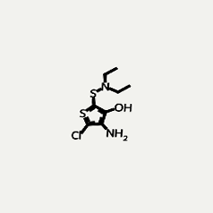 CCN(CC)Sc1sc(Cl)c(N)c1O